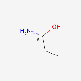 C[CH][C@H](N)O